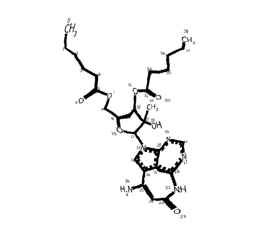 CCCCCC(=O)OCC1OC(n2cc3c4c(ncnc42)NC(=O)C=C3N)C(C)(O)C1OC(=O)CCCCC